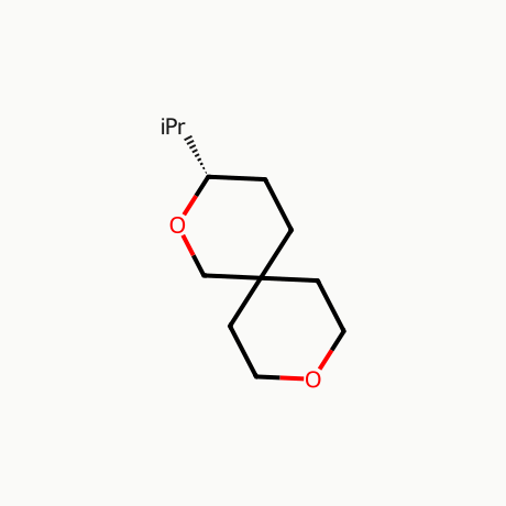 CC(C)[C@@H]1CCC2(CCOCC2)CO1